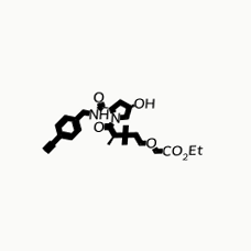 C#Cc1ccc(CNC(=O)[C@@H]2C[C@@H](O)CN2C(=O)[C@H](C)C(C)(C)CCOCC(=O)OCC)cc1